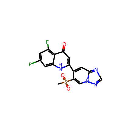 CS(=O)(=O)c1cn2ncnc2cc1-c1cc(=O)c2c(F)cc(F)cc2[nH]1